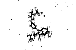 Cn1nnc(-c2c(Cl)c3cc(Cl)ccc3n2-c2ccc(CNC(=O)C3(NC(=O)C(F)(F)F)CC3)cc2)n1